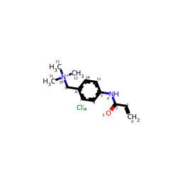 C=CC(=O)Nc1ccc(C[N+](C)(C)C)cc1.[Cl-]